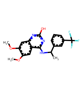 COc1cc2nc(O)nc(NC(C)c3cccc(C(F)(F)F)c3)c2cc1OC